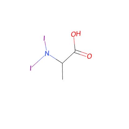 CC(C(=O)O)N(I)I